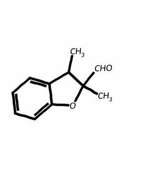 CC1c2ccccc2OC1(C)C=O